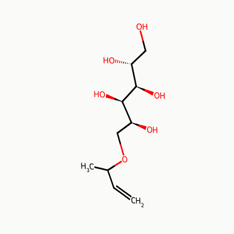 C=CC(C)OC[C@H](O)[C@@H](O)[C@H](O)[C@H](O)CO